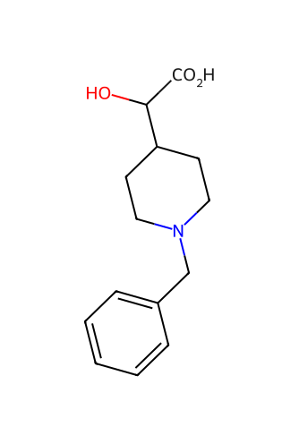 O=C(O)C(O)C1CCN(Cc2ccccc2)CC1